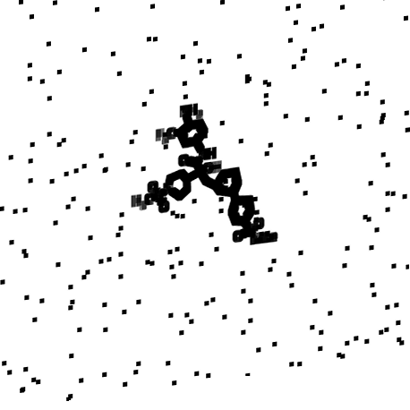 CNS(=O)(=O)c1ccc(-c2cccc(CC(O)(C(=O)Nc3ccc(N)c(C(F)(F)F)c3)C3CCN(S(C)(=O)=O)CC3)c2)cc1